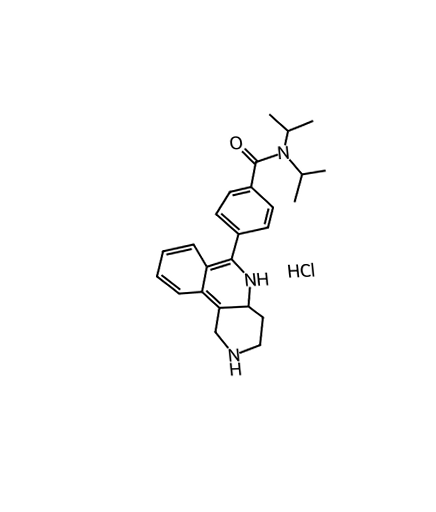 CC(C)N(C(=O)c1ccc(C2=c3ccccc3=C3CNCCC3N2)cc1)C(C)C.Cl